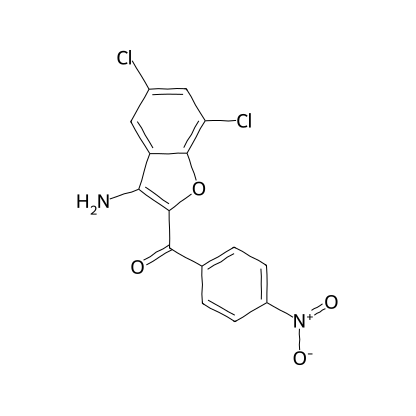 Nc1c(C(=O)c2ccc([N+](=O)[O-])cc2)oc2c(Cl)cc(Cl)cc12